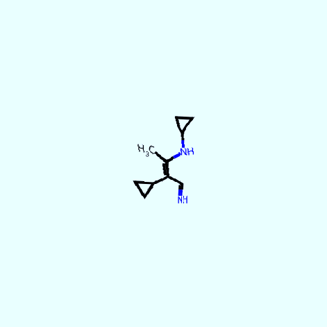 C/C(NC1CC1)=C(/C=N)C1CC1